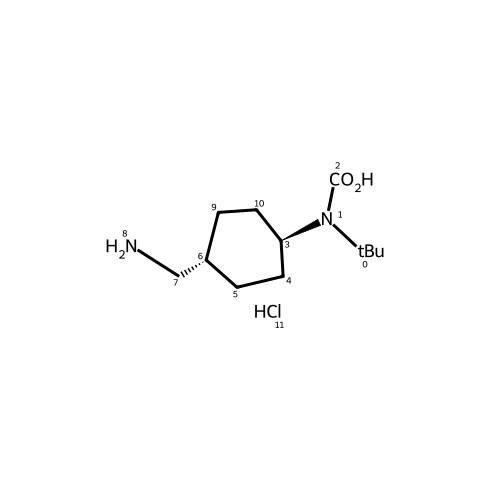 CC(C)(C)N(C(=O)O)[C@H]1CC[C@H](CN)CC1.Cl